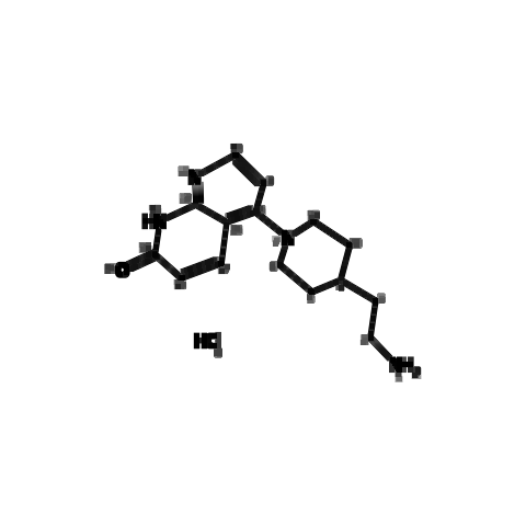 Cl.NCCC1CCN(c2ccnc3[nH]c(=O)ccc23)CC1